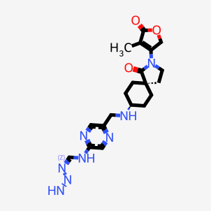 CC1=C(N2CC[C@]3(CC[C@@H](NCc4cnc(N/C=N\N=N)cn4)CC3)C2=O)COC1=O